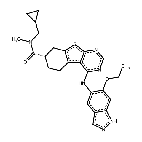 CCOc1cc2[nH]ncc2cc1Nc1ncnc2sc3c(c12)CC[C@H](C(=O)N(C)CC1CC1)C3